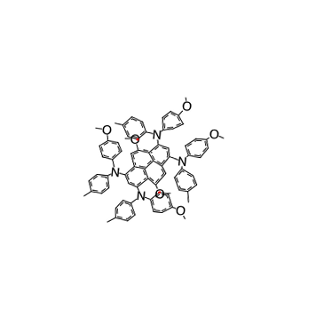 COc1ccc(N(c2ccc(C)cc2)c2cc(N(c3ccc(C)cc3)c3ccc(OC)cc3)c3c(OC)cc4c(N(c5ccc(C)cc5)c5ccc(OC)cc5)cc(N(c5ccc(C)cc5)c5ccc(OC)cc5)c5c(OC)cc2c3c45)cc1